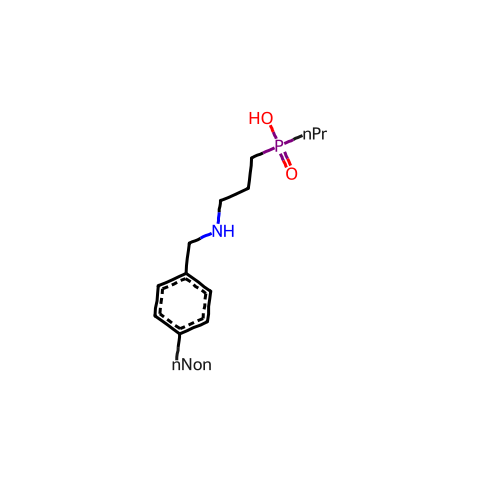 CCCCCCCCCc1ccc(CNCCCP(=O)(O)CCC)cc1